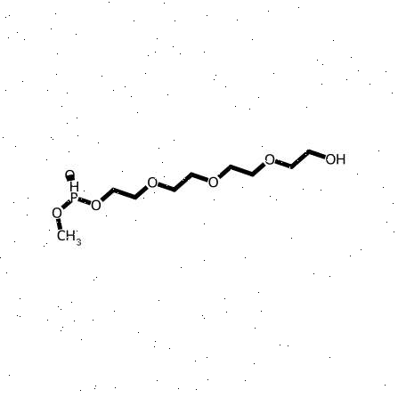 CO[PH](=O)OCCOCCOCCOCCO